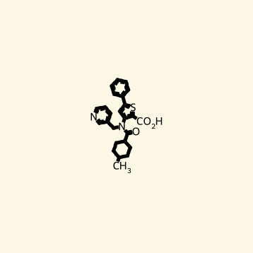 CC1CCC(C(=O)N(Cc2cccnc2)c2cc(-c3ccccc3)sc2C(=O)O)CC1